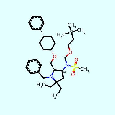 CCC1(CC)C[C@H](N(COCC[Si](C)(C)C)S(C)(=O)=O)[C@H](CO[C@H]2CC[C@@H](c3ccccc3)CC2)N1Cc1ccccc1